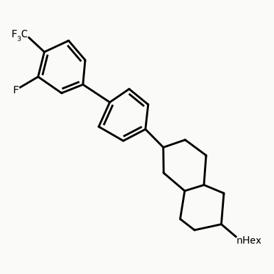 CCCCCCC1CCC2CC(c3ccc(-c4ccc(C(F)(F)F)c(F)c4)cc3)CCC2C1